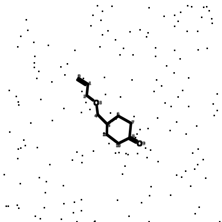 C=CCOCC1CCC(=O)CC1